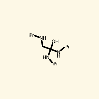 CC(C)NCC(O)(NC(C)C)NC(C)C